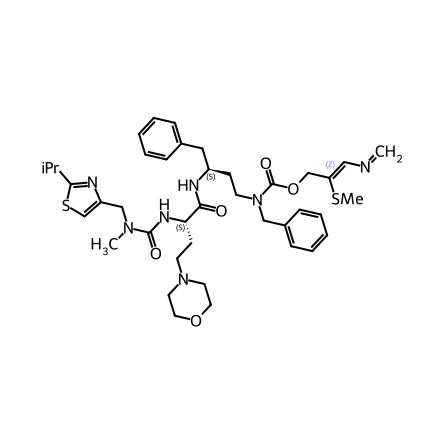 C=N/C=C(/COC(=O)N(CC[C@H](Cc1ccccc1)NC(=O)[C@H](CCN1CCOCC1)NC(=O)N(C)Cc1csc(C(C)C)n1)Cc1ccccc1)SC